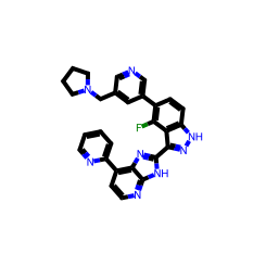 Fc1c(-c2cncc(CN3CCCC3)c2)ccc2[nH]nc(-c3nc4c(-c5ccccn5)ccnc4[nH]3)c12